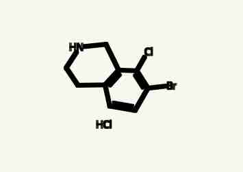 Cl.Clc1c(Br)ccc2c1CNCC2